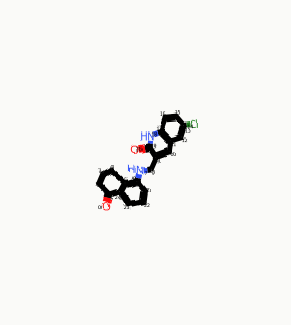 O=C1CCCc2c(NCc3cc4cc(Cl)ccc4[nH]c3=O)cccc21